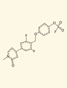 Cn1ccc(-c2cc(F)c(COc3ccc(OS(=O)(=O)F)cc3)c(F)c2)cc1=O